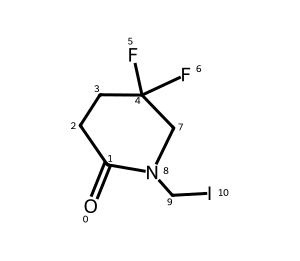 O=C1CCC(F)(F)CN1CI